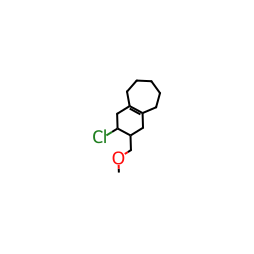 COCC1CC2=C(CCCCC2)CC1Cl